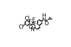 O=C(Nc1cccc(/C=C\C2=NOC(c3cc(Cl)cc(Cl)c3)(C(F)(F)F)C2)c1)C1CC1